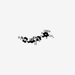 COc1cc(C)c(F)c(COc2cnc(Nc3cc(CN4CCN(C)CC4)nn3C)nc2)c1F